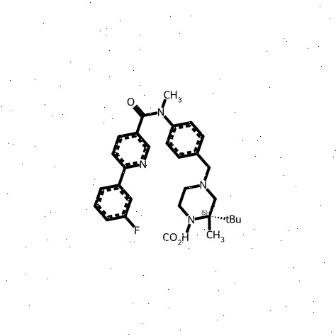 CN(C(=O)c1ccc(-c2cccc(F)c2)nc1)c1ccc(CN2CCN(C(=O)O)[C@@](C)(C(C)(C)C)C2)cc1